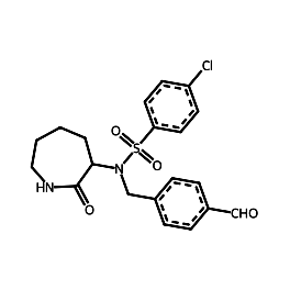 O=Cc1ccc(CN(C2CCCCNC2=O)S(=O)(=O)c2ccc(Cl)cc2)cc1